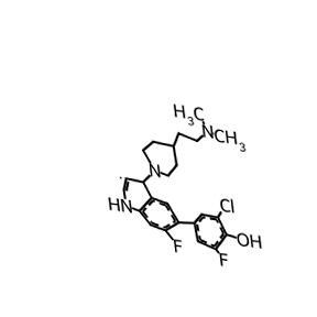 CN(C)CCC1CCN(C2[C]=CNc3cc(F)c(-c4cc(F)c(O)c(Cl)c4)cc32)CC1